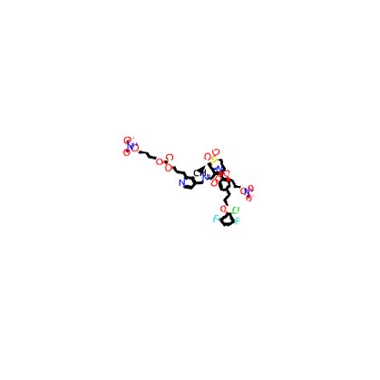 Cc1c(CN(C(=O)C2=C(c3ccc(CCCOc4c(F)ccc(F)c4Cl)cc3)CC3CS(=O)(=O)CC2N3C(=O)OCCCCO[N+](=O)[O-])C2CC2)ccnc1CCCOC(=O)OCCCCO[N+](=O)[O-]